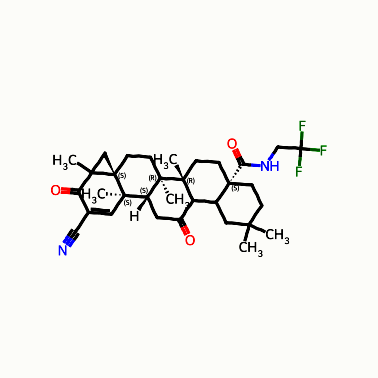 CC1(C)CC[C@]2(C(=O)NCC(F)(F)F)CC[C@]3(C)C(C(=O)C[C@@H]4[C@@]5(C)C=C(C#N)C(=O)C6(C)C[C@]65CC[C@]43C)C2C1